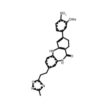 COc1cc(C2=CC3=C(CC2)C(=O)Nc2cc(CCc4nc(C)no4)ccc2N3)ccc1[N+](=O)[O-]